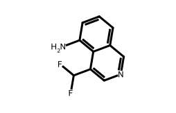 Nc1cccc2cncc(C(F)F)c12